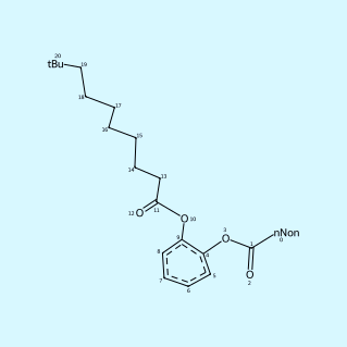 CCCCCCCCCC(=O)Oc1ccccc1OC(=O)CCCCCCCC(C)(C)C